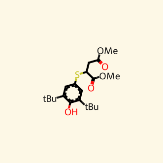 COC(=O)CC(Sc1cc(C(C)(C)C)c(O)c(C(C)(C)C)c1)C(=O)OC